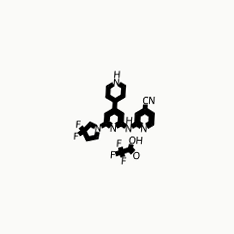 N#Cc1ccnc(Nc2cc(C3CCNCC3)cc(N3CCC(F)(F)C3)n2)c1.O=C(O)C(F)(F)F